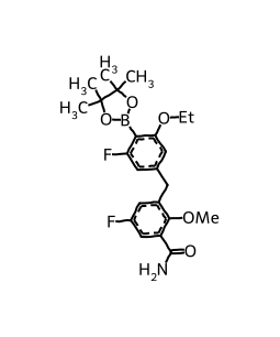 CCOc1cc(Cc2cc(F)cc(C(N)=O)c2OC)cc(F)c1B1OC(C)(C)C(C)(C)O1